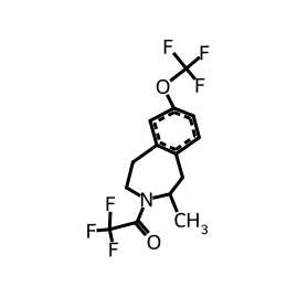 CC1Cc2ccc(OC(F)(F)F)cc2CCN1C(=O)C(F)(F)F